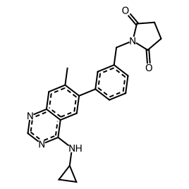 Cc1cc2ncnc(NC3CC3)c2cc1-c1cccc(CN2C(=O)CCC2=O)c1